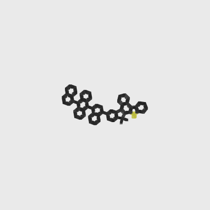 CC1(C)c2ccc(-c3ccc(-c4c5ccccc5c(-c5cccc6ccccc56)c5ccccc45)c4ccccc34)cc2-c2c1c1sc3ccccc3c1c1ccccc21